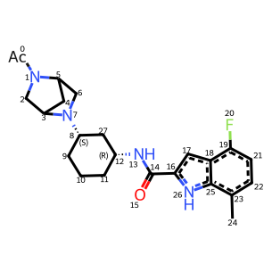 CC(=O)N1CC2CC1CN2[C@H]1CCC[C@@H](NC(=O)c2cc3c(F)ccc(C)c3[nH]2)C1